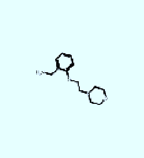 NCc1ccccc1OCCN1CCOCC1